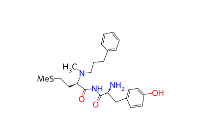 CSCC[C@H](C(=O)NC(=O)[C@@H](N)Cc1ccc(O)cc1)N(C)CCCc1ccccc1